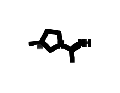 CC(=N)N1CC[C@H](C)C1